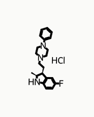 C[C@@H]1Nc2ccc(F)cc2[C@@H]1CCN1CCN(c2ccccc2)CC1.Cl